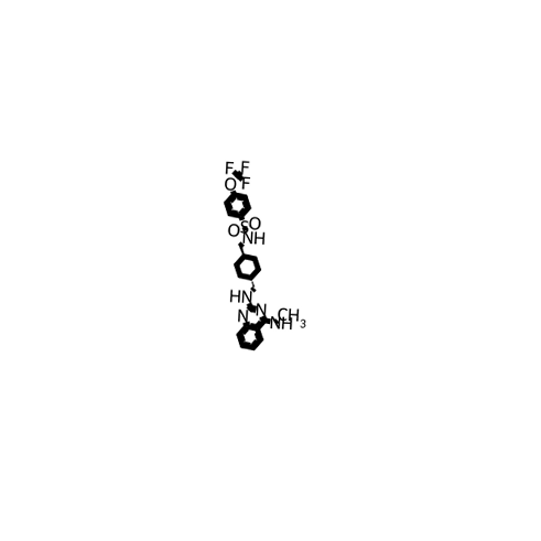 CNc1nc(NC[C@H]2CC[C@H](CNS(=O)(=O)c3ccc(OC(F)(F)F)cc3)CC2)nc2ccccc12